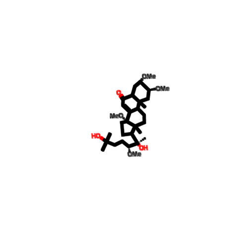 CO[C@H]1CC2(C)C(C[C@H]1OC)C(=O)C=C1C2CCC2(C)C([C@@](C)(O)[C@@H](CCC(C)(C)O)OC)CC[C@@]12OC